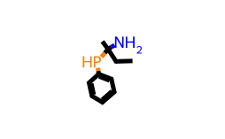 CCC(C)(N)Pc1ccccc1